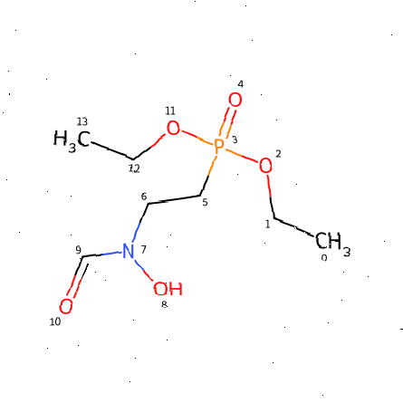 CCOP(=O)(CCN(O)C=O)OCC